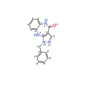 O=C1Nc2ccccc2Nc2c1cnn2Cc1ccccc1